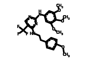 COc1ccc(CCNc2nc(Nc3cc(OC)c(OC)c(OC)c3)ncc2C(F)(F)F)cc1